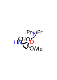 COc1ccc(NC=O)cc1OCCN(C(C)C)C(C)C